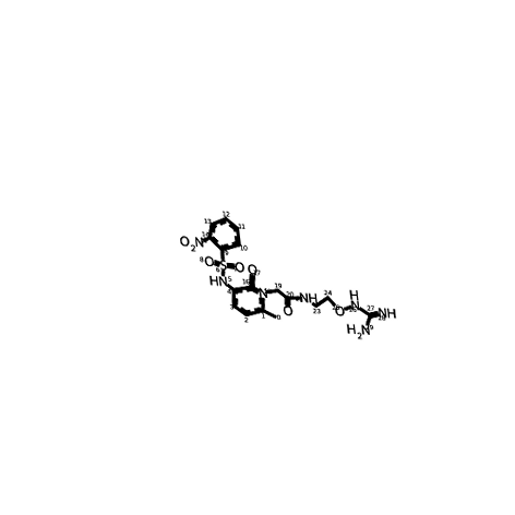 Cc1ccc(NS(=O)(=O)c2ccccc2[N+](=O)[O-])c(=O)n1CC(=O)NCCONC(=N)N